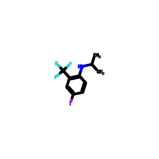 CC(C)Nc1ccc(I)cc1C(F)(F)F